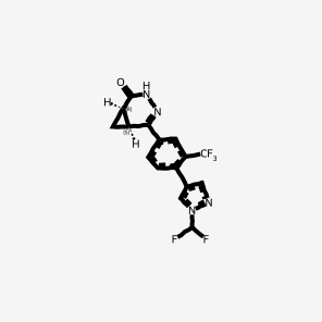 O=C1NN=C(c2ccc(-c3cnn(C(F)F)c3)c(C(F)(F)F)c2)[C@H]2C[C@@H]12